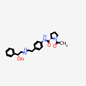 CC(=O)N1CCC[C@H]1C(=O)Nc1ccc(CCNC[C@H](O)c2ccccc2)cc1